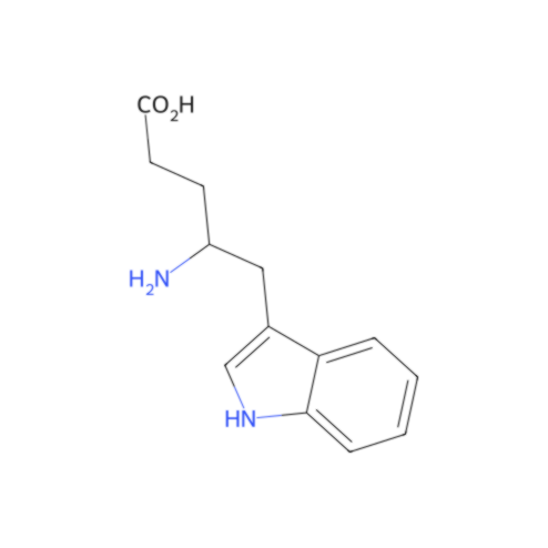 NC(CCC(=O)O)Cc1c[nH]c2ccccc12